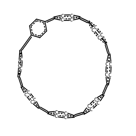 c1cc2ccc1=c1ccc(cc1)=c1ccc(cc1)=c1ccc(cc1)=c1ccc(cc1)=c1ccc(cc1)=c1ccc(cc1)=c1ccc=2cc1